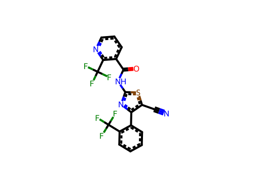 N#Cc1sc(NC(=O)c2cccnc2C(F)(F)F)nc1-c1ccccc1C(F)(F)F